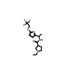 CCN1CCC(C(=O)NC(C)c2ccc(OCC(F)(F)F)s2)C1